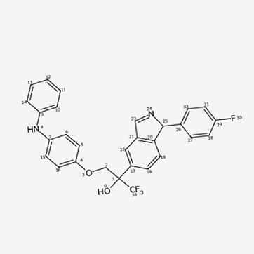 OC(COc1ccc(Nc2ccccc2)cc1)(c1ccc2c(c1)C=NC2c1ccc(F)cc1)C(F)(F)F